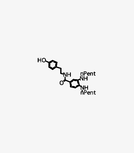 CCCCCNc1ccc(C(=O)NCCc2ccc(O)cc2)cc1NCCCCC